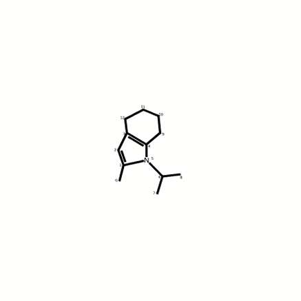 Cc1cc2c(n1C(C)C)CCCC2